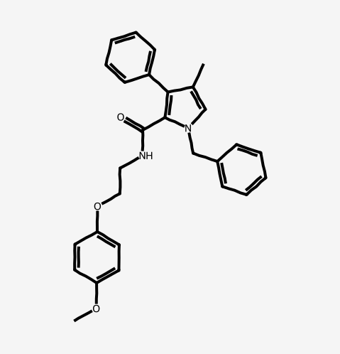 COc1ccc(OCCNC(=O)c2c(-c3ccccc3)c(C)cn2Cc2ccccc2)cc1